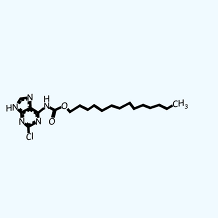 CCCCCCCCCCCCCCOC(=O)Nc1nc(Cl)nc2[nH]cnc12